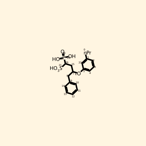 CCCc1cccc(OC(Cc2ccccc2)CC(P(=O)(O)O)S(=O)(=O)O)c1